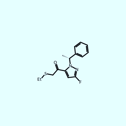 CCSCC(=O)c1cc(F)nn1[C@H](C)c1ccccc1